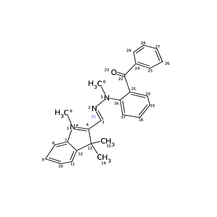 CN(/N=C/C1=[N+](C)c2ccccc2C1(C)C)c1ccccc1C(=O)c1ccccc1